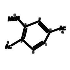 CNc1cc(C(C)=O)ccc1C(C)=O